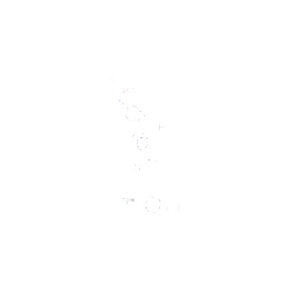 Cc1ccc(C#N)c([C@H]2C[C@@H](NC(=O)c3cnn(C(C)c4ncc(N5CC[C@H](C)C5=O)cc4C)c3)C2)c1